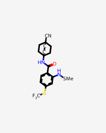 CSNc1cc(SC(F)(F)F)ccc1C(=O)NC12CCC(C#N)(CC1)CC2